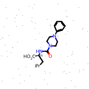 CC(C)C[C@H](NC(=O)N1CCN(c2ccccc2)CC1)C(=O)O